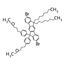 CCCCCCCCC1(CCCCCCCC)c2cc(Br)ccc2-c2cc3c(cc21)-c1ccc(Br)cc1C3(c1ccc(CCCOCC)cc1)c1ccc(CCCOCC)cc1